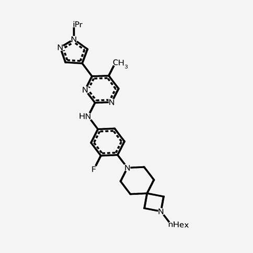 CCCCCCN1CC2(CCN(c3ccc(Nc4ncc(C)c(-c5cnn(C(C)C)c5)n4)cc3F)CC2)C1